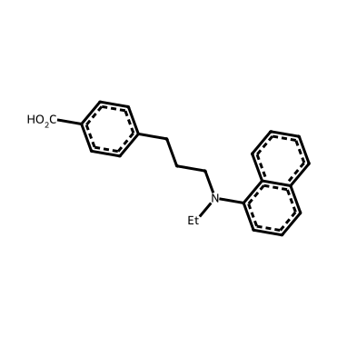 CCN(CCCc1ccc(C(=O)O)cc1)c1cccc2ccccc12